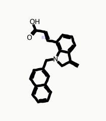 C=C1CN(Cc2ccc3ccccc3c2)c2c(/C=C/C(=O)O)cccc21